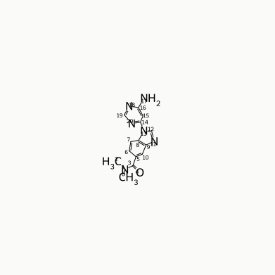 CN(C)C(=O)c1ccc2c(c1)ncn2-c1cc(N)ncn1